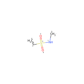 [CH2]NS(=O)(=O)C=C